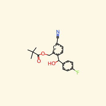 CC(C)(C)C(=O)OCc1cc(C#N)ccc1C(O)c1ccc(F)cc1